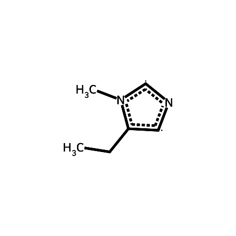 CCc1[c]n[c]n1C